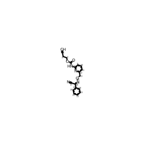 C#CCCOC(=O)Nc1cccc(CO/N=C(\C#N)c2ccccc2)n1